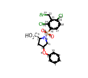 O=C(O)[C@@H]1CC(Oc2ccccc2)CN1S(=O)(=O)c1ccc(Cl)c(CBr)c1Cl